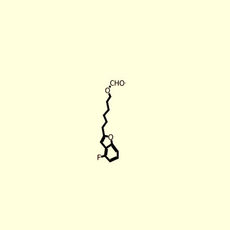 O=[C]OCCCCCCc1cc2c(F)cccc2o1